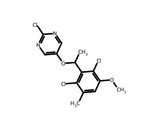 COc1cc(C)c(Cl)c(C(C)Oc2cnc(Cl)nc2)c1Cl